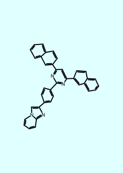 c1ccc2cc(-c3cc(-c4ccc5ccccc5c4)nc(-c4ccc(-c5cn6ccccc6n5)cc4)n3)ccc2c1